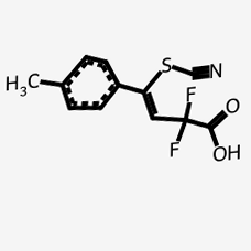 Cc1ccc(C(=CC(F)(F)C(=O)O)SC#N)cc1